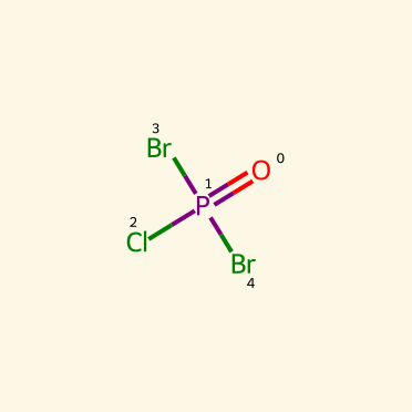 O=P(Cl)(Br)Br